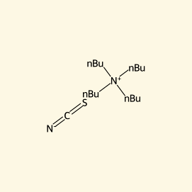 CCCC[N+](CCCC)(CCCC)CCCC.[N-]=C=S